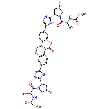 COC(=O)N[C@H](C(=O)N1C[C@H](F)C[C@H]1c1ncc(-c2ccc3c(c2)OCc2c-3c(=O)oc3cc(-c4cnc([C@@H]5C[C@@H](F)CN5C(=O)[C@@H](NC(=O)OC)C(C)C)[nH]4)ccc23)[nH]1)C(C)C